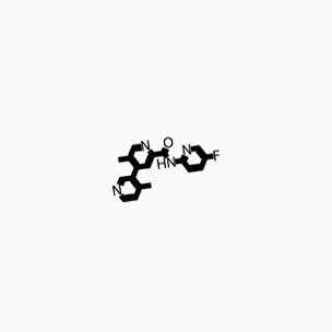 Cc1ccncc1-c1cc(C(=O)Nc2ccc(F)cn2)ncc1C